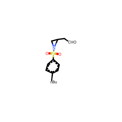 CCCCc1ccc(S(=O)(=O)N2CC2CC=O)cc1